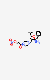 CC(C)COC(N)(Cc1ccccc1)C(C)CN1CCN(C(=O)CCO[N+](=O)[O-])CC1